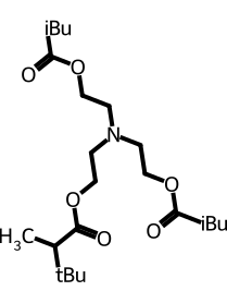 CCC(C)C(=O)OCCN(CCOC(=O)C(C)CC)CCOC(=O)C(C)C(C)(C)C